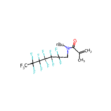 C=C(C)C(=O)N(CCCC)CC(F)(F)C(F)(F)C(F)(F)C(F)(F)C(F)(F)C(F)(F)F